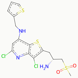 CS(=O)(=O)C[C@H](N)Cc1sc2c(NCc3cccs3)cc(Cl)nc2c1Cl